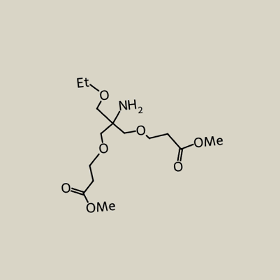 CCOCC(N)(COCCC(=O)OC)COCCC(=O)OC